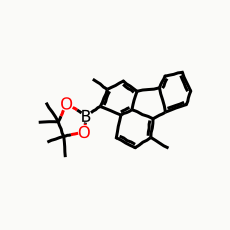 Cc1cc2c3c(c(C)ccc3c1B1OC(C)(C)C(C)(C)O1)-c1ccccc1-2